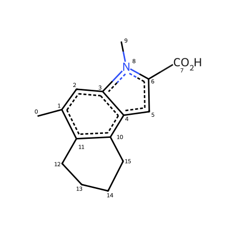 Cc1cc2c(cc(C(=O)O)n2C)c2c1CCCC2